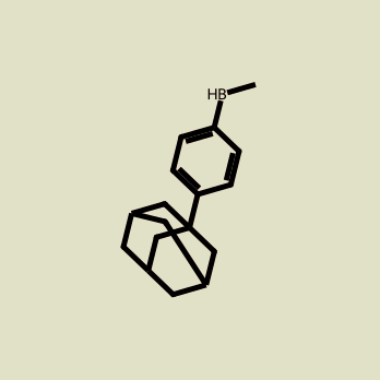 CBc1ccc(C23CC4CC(CC(C4)C2)C3)cc1